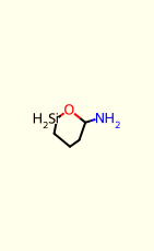 NC1CCC[SiH2]O1